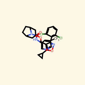 O=C(Nc1cncc(C(F)(F)F)c1)N1C2CCC1CC(OCc1c(-c3c(Cl)cccc3Cl)noc1C1CC1)C2